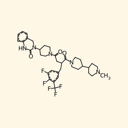 CN1CCC(C2CCN(C(=O)C(CC(=O)N3CCC(N4Cc5ccccc5NC4=O)CC3)Cc3cc(F)c(F)c(C(F)(F)F)c3)CC2)CC1